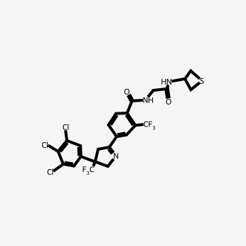 O=C(CNC(=O)c1ccc(C2=NCC(c3cc(Cl)c(Cl)c(Cl)c3)(C(F)(F)F)C2)cc1C(F)(F)F)NC1CSC1